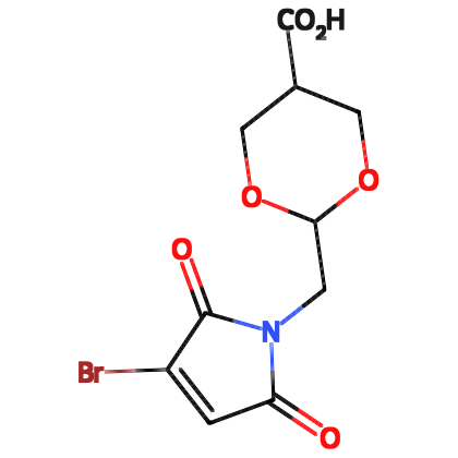 O=C(O)C1COC(CN2C(=O)C=C(Br)C2=O)OC1